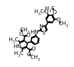 COC(=O)C1=C(C)NC(C)=C(C(=O)OC)C1c1cccc(Nc2nc(-c3cc(OC)c(OC)c(OC)c3)cs2)c1